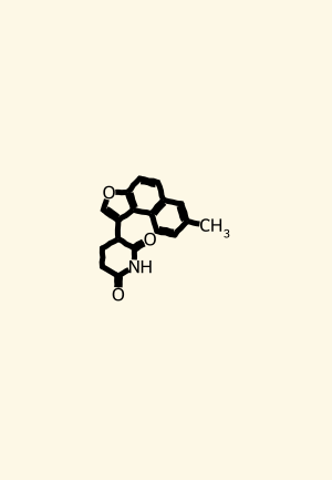 Cc1ccc2c(ccc3occ(C4CCC(=O)NC4=O)c32)c1